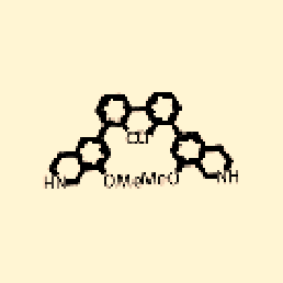 COc1cc(-c2cccc(-c3cccc(-c4cc5c(c(OC)c4)CNCC5)c3Cl)c2Cl)cc2c1CNCC2